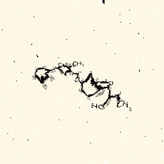 C=CC(O)c1occ2cc(OCc3nc(-c4ccccc4)oc3C)ccc12